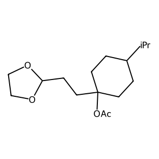 CC(=O)OC1(CCC2OCCO2)CCC(C(C)C)CC1